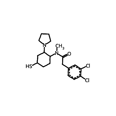 CN(C(=O)Cc1ccc(Cl)c(Cl)c1)C1CCC(S)CC1N1CCCC1